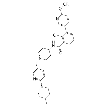 CC1CCN(c2ccc(CN3CCC(NC(=O)c4cccc(-c5ccc(OC(F)(F)F)nc5)c4Cl)CC3)cn2)CC1